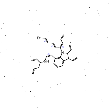 C=C\C=C(/C=C/C=C/CC)N1c2c(/C=C\NC(C=C)CC=C)cccc2C(C=C)C1C=C